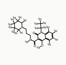 [2H]Oc1c(C(=O)N([2H])CCCN2C([2H])C([2H])([2H])C([2H])([2H])C([2H])([2H])C2([2H])[2H])c(=O)n(C([2H])([2H])C([2H])([2H])[2H])c2c([2H])c([2H])c([2H])c([2H])c12